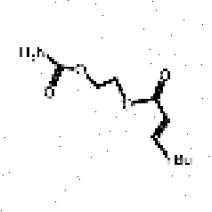 CCCCC=CC(=O)OCCOC(N)=O